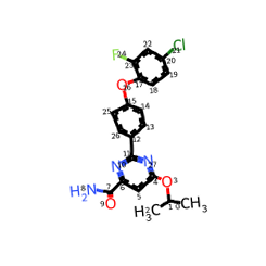 CC(C)Oc1cc(C(N)=O)nc(-c2ccc(Oc3ccc(Cl)cc3F)cc2)n1